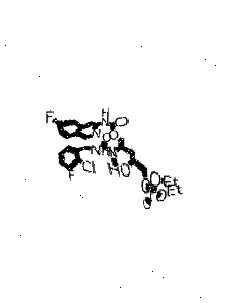 CCOP(=O)(OCC)OCC(O)CC(COC(=O)Nc1cc2cc(F)ccc2cn1)N(C)C(=O)NCc1cccc(F)c1Cl